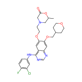 CC1CN(CCOc2cc3c(Nc4ccc(F)c(Cl)c4)ncnc3cc2OCC2CCOCC2)CC(=O)O1